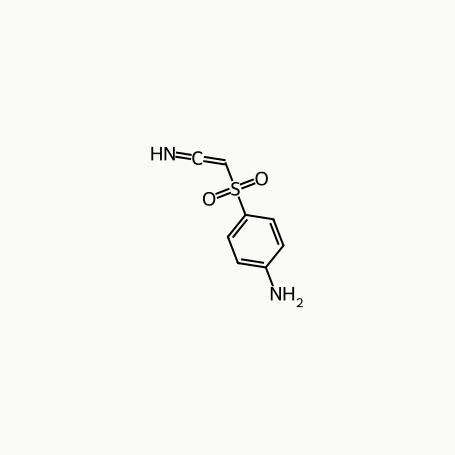 N=C=CS(=O)(=O)c1ccc(N)cc1